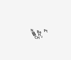 C#N.[BaH2].[Pt]